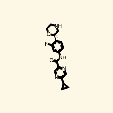 O=C(Nc1ccc([C@@H]2CNCCO2)c(F)c1)c1cnc(C2CC2)cn1